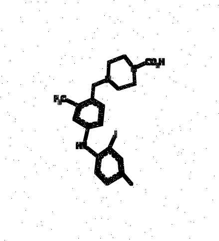 Cc1ccc(Nc2ccc(CN3CCN(C(=O)O)CC3)c(C(F)(F)F)c2)c(I)c1